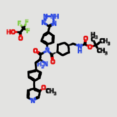 COc1cnccc1-c1ccc(C[C@H](N)C(=O)N(c2ccc(-c3nn[nH]n3)cc2)C(=O)[C@H]2CC[C@H](CNC(=O)OC(C)(C)C)CC2)cc1.O=C(O)C(F)(F)F